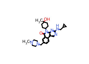 CN1CCN(Cc2ccc3c(c2)c(=O)n(C2CCC(C)(O)CC2)c2nc(NCC4CC4)ncc32)CC1